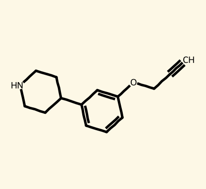 C#CCOc1cccc(C2CCNCC2)c1